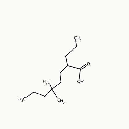 CCCC(CCC(C)(C)CCC)C(=O)O